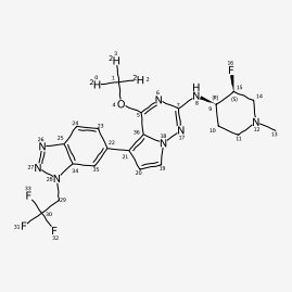 [2H]C([2H])([2H])Oc1nc(N[C@@H]2CCN(C)C[C@@H]2F)nn2ccc(-c3ccc4nnn(CC(F)(F)F)c4c3)c12